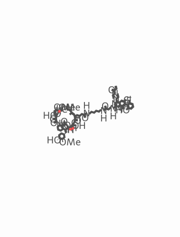 C=CC(=O)N1CCN(c2nc(NCCC(=O)NCCCCCCNC(=O)CCC[C@@H]3/C=C(\C)C[C@H](C)C[C@H](OC)[C@H]4O[C@@](O)(C(=O)C(=O)N5CCCC6/C(=C\[C@@H]7CC[C@@H](O)[C@H](OC)C7)[C@@H](OC(=O)[C@H]65)[C@H](C)[C@@H](O)CC3=O)[C@H](C)C[C@@H]4OC)nc3c(F)c(-c4c(O)cccc4F)c(Cl)cc23)CC1